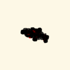 CCC1O[C@@H](O[C@@H]2C(OC(=O)c3ccccc3)[C@H](O[C@@H]3C(CC)O[C@@H](OCCN(Cc4ccccc4)C(=O)OCc4ccccc4)C(OC(=O)c4ccccc4)[C@H]3C)OC3COC(c4ccccc4)O[C@H]32)C(OC(=O)c2ccccc2)[C@@H](C)[C@@H]1O[C@@H]1OC2COC(c3ccccc3)O[C@H]2[C@H](O)C1OC(=O)c1ccccc1